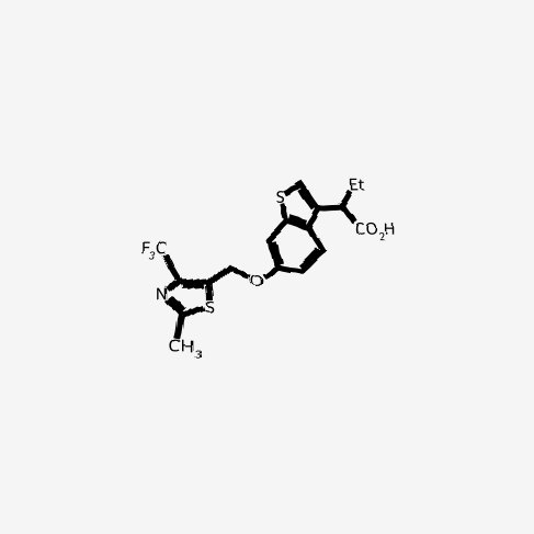 CCC(C(=O)O)c1csc2cc(OCc3sc(C)nc3C(F)(F)F)ccc12